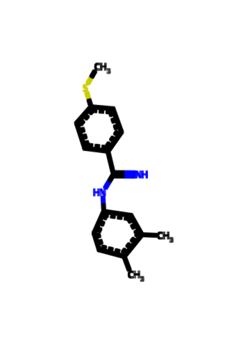 CSc1ccc(C(=N)Nc2ccc(C)c(C)c2)cc1